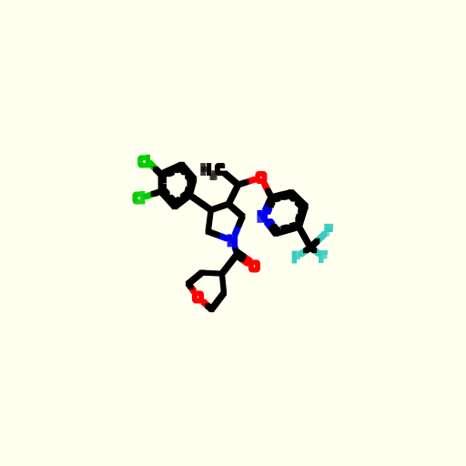 CC(Oc1ccc(C(F)(F)F)cn1)C1CN(C(=O)C2CCOCC2)CC1c1ccc(Cl)c(Cl)c1